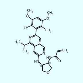 C=CC(=O)N[C@H]1COC[C@H]1Nc1ncc2cc(-c3c(C)c(OC)cc(OC)c3Cl)nc(C(C)C)c2n1